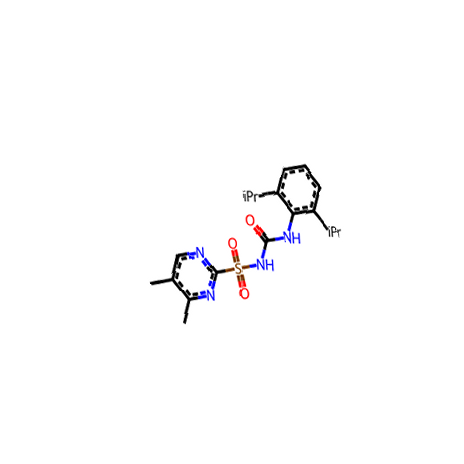 Cc1cnc(S(=O)(=O)NC(=O)Nc2c(C(C)C)cccc2C(C)C)nc1C